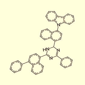 c1ccc(C2=NC(c3ccc(-n4c5ccccc5c5ccccc54)c4ccccc34)NC(c3ccc(-c4ccccc4)c4ccccc34)=N2)cc1